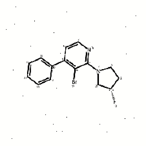 F[C@H]1CCN(c2nccc(-c3ccccc3)c2Br)C1